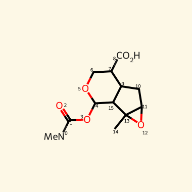 CNC(=O)OC1OCC(C(=O)O)C2CC3OC3(C)C12